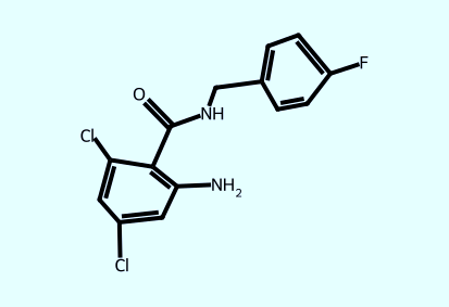 Nc1cc(Cl)cc(Cl)c1C(=O)NCc1ccc(F)cc1